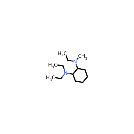 CCN(C)[C]1CCCCC1N(CC)CC